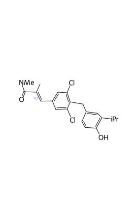 CNC(=O)/C(C)=C/c1cc(Cl)c(Cc2ccc(O)c(C(C)C)c2)c(Cl)c1